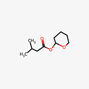 CC(C)CC(=O)OC1CCCCO1